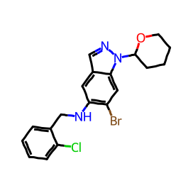 Clc1ccccc1CNc1cc2cnn(C3CCCCO3)c2cc1Br